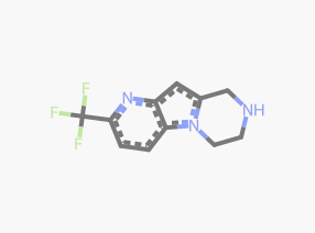 FC(F)(F)c1ccc2c(cc3n2CCNC3)n1